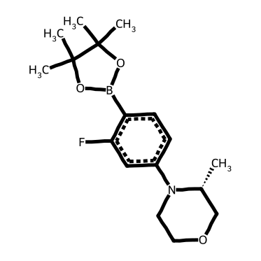 C[C@@H]1COCCN1c1ccc(B2OC(C)(C)C(C)(C)O2)c(F)c1